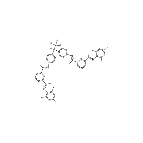 C/C(=N\c1ccc(C(C)(c2ccc(/N=C(\C)c3cccc(/C(C)=N/c4c(C)cc(C)cc4C)n3)cc2)C(F)(F)F)cc1)c1cccc(/C(C)=N/c2c(C)cc(C)cc2C)n1